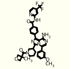 COc1cccc(-c2cnc(N)c3c(-c4ccc(C(=O)Nc5cc(C(F)(F)F)ccn5)cc4)nc(C4CCCN(C(=O)C5(C)COC5)C4)n23)c1